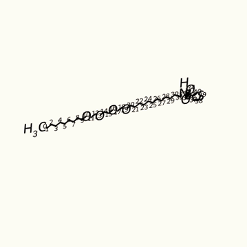 CCCCCCCCCCOCCOCCOCCOCCCCCCCCCCCCNS(=O)(=O)c1ccsc1